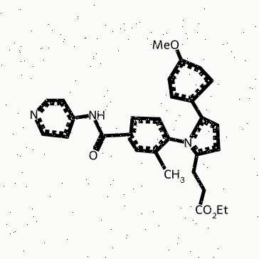 CCOC(=O)CCc1ccc(-c2ccc(OC)cc2)n1-c1ccc(C(=O)Nc2ccncc2)cc1C